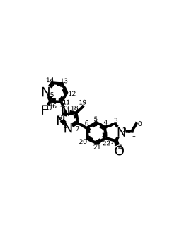 CCN1Cc2cc(-c3nnn(-c4cccnc4F)c3C)ccc2C1=O